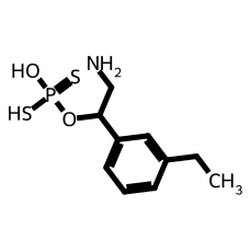 CCc1cccc(C(CN)OP(O)(=S)S)c1